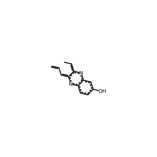 C=C/C=c1/nc2ccc(O)cc2n/c1=C/C